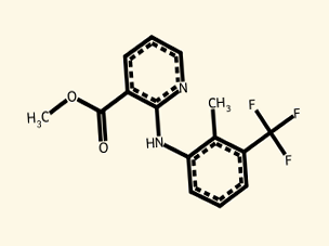 COC(=O)c1cccnc1Nc1cccc(C(F)(F)F)c1C